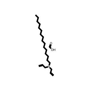 C=CCN(CC=C)CCCCCCCCCCCCCCCC.O=CO